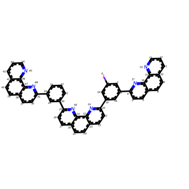 Ic1cc(-c2ccc3ccc4cccnc4c3n2)cc(-c2ccc3ccc4ccc(-c5cccc(-c6ccc7ccc8cccnc8c7n6)c5)nc4c3n2)c1